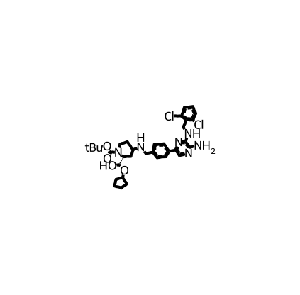 CC(C)(C)OC(=O)N1CCC(NCc2ccc(-c3cnc(N)c(NCc4c(Cl)cccc4Cl)n3)cc2)C[C@@H]1C(O)OC1CCCC1